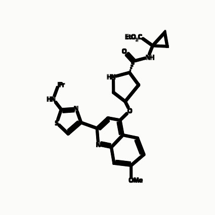 CCOC(=O)C1(NC(=O)[C@@H]2CC(Oc3cc(-c4csc(NC(C)C)n4)nc4cc(OC)ccc34)CN2)CC1